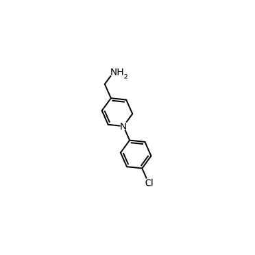 NCC1=CCN(c2ccc(Cl)cc2)C=C1